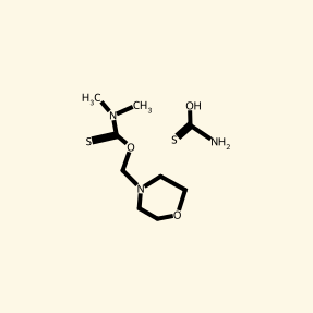 CN(C)C(=S)OCN1CCOCC1.NC(O)=S